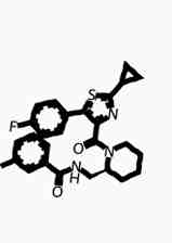 O=C(NC[C@@H]1CCCCN1C(=O)c1nc(C2CC2)sc1-c1ccc(F)cc1)c1cccc(Br)c1